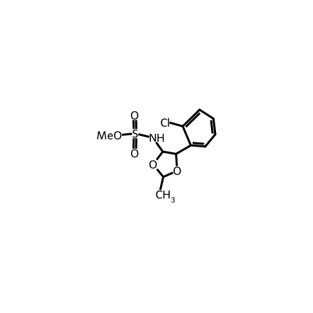 COS(=O)(=O)NC1OC(C)OC1c1ccccc1Cl